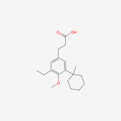 CCc1cc(CCC(=O)O)cc(C2(C)CCCCC2)c1OC